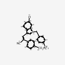 N#CC(=Cc1cn(Cc2ccc(C(F)(F)F)cc2)c2cc(Cl)ccc12)c1ccc(C(=O)O)cc1